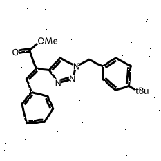 COC(=O)C(=Cc1ccccc1)c1cn(Cc2ccc(C(C)(C)C)cc2)nn1